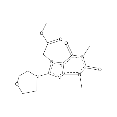 COC(=O)Cn1c(N2CCOCC2)nc2c1c(=O)n(C)c(=O)n2C